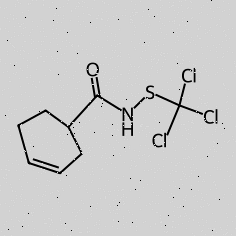 O=C(NSC(Cl)(Cl)Cl)C1CC=CCC1